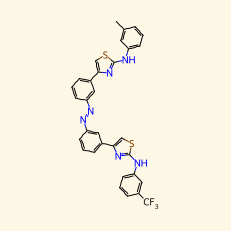 Cc1cccc(Nc2nc(-c3cccc(/N=N/c4cccc(-c5csc(Nc6cccc(C(F)(F)F)c6)n5)c4)c3)cs2)c1